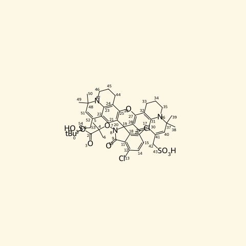 CC(C)(C)OC(=O)C(C)(C)ON1C(=O)c2c(Cl)ccc(Cl)c2C12c1cc3c4c(c1Oc1c2cc2c5c1CCCN5C(C)(C)C=C2CS(=O)(=O)O)CCCN4C(C)(C)C=C3CS(=O)(=O)O